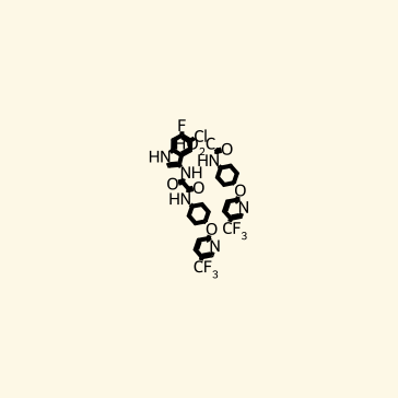 O=C(Nc1c[nH]c2cc(F)c(Cl)cc12)C(=O)NC1CCC(Oc2ccc(C(F)(F)F)cn2)CC1.O=C(O)C(=O)NC1CCC(Oc2ccc(C(F)(F)F)cn2)CC1